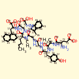 CCCC[C@@H](C(=O)N[C@@H](CC(=O)O)C(=O)N[C@@H](Cc1cccc2ccccc12)C(=O)O)N(C)C(=O)[C@H](Cc1c[nH]c2ccccc12)NC(=O)CNC(=O)[C@H](Cc1ccc(O)cc1)NC(=O)[C@H](C)NC(=O)[C@H](N)CCC(=O)O